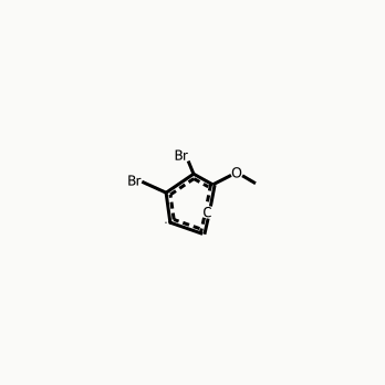 COc1cc[c]c(Br)c1Br